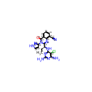 CC[C@H](Nc1nc(N)nc(N)c1Cl)c1nc2c(C#N)cccc2c(=O)n1-c1cc[nH]n1